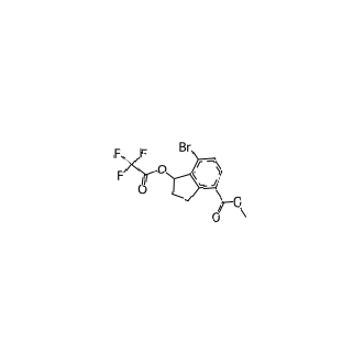 COC(=O)c1ccc(Br)c2c1CCC2OC(=O)C(F)(F)F